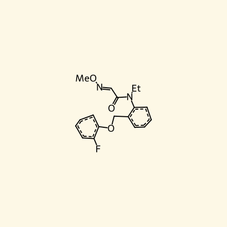 CCN(C(=O)C=NOC)c1ccccc1COc1ccccc1F